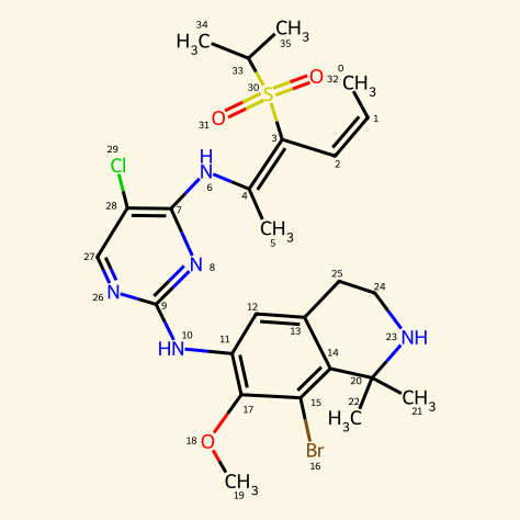 C/C=C\C(=C(/C)Nc1nc(Nc2cc3c(c(Br)c2OC)C(C)(C)NCC3)ncc1Cl)S(=O)(=O)C(C)C